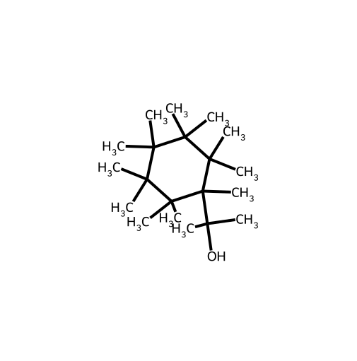 CC(C)(O)C1(C)C(C)(C)C(C)(C)C(C)(C)C(C)(C)C1(C)C